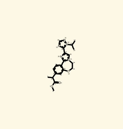 COC(=O)C(C)c1ccc2c(c1)OCCn1cc(-c3ncnn3C(C)C)nc1-2